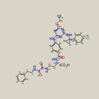 O=C(NCCc1ccccc1)C(=O)NCC[C@H](NC(=O)c1ccc(Nc2nc(NC3(c4ccc(Cl)cc4)CC3)nc(OCC(F)(F)F)n2)cc1)C(=O)O